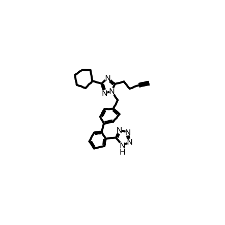 C#CCCc1nc(C2CCCCC2)nn1Cc1ccc(-c2ccccc2-c2nnn[nH]2)cc1